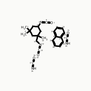 CC1(C)CC(N=C=O)CC(C)(CN=C=O)C1.N=C=O.N=C=O.c1ccc2ccccc2c1